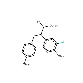 CCOC(=O)C(CC)C(Cc1ccc(OC)cc1)c1ccc(OC)c(F)c1